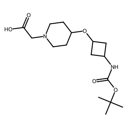 CC(C)(C)OC(=O)NC1CC(OC2CCN(CC(=O)O)CC2)C1